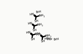 Br.Br.Br.Br.N=C(N)S.N=C(N)S.N=C(N)S.N=C(N)S